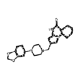 O=c1[nH]c2cc(CN3CCN(c4ccc5c(c4)OCO5)CC3)cn2c2ccccc12